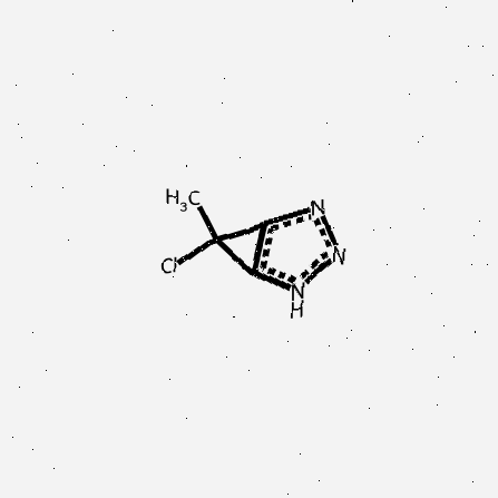 CC1(Cl)c2nn[nH]c21